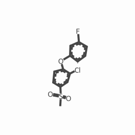 CS(=O)(=O)c1ccc(Oc2[c]ccc(F)c2)c(Cl)c1